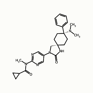 CN(C(=O)C1CC1)c1ncc(N2C[C@]3(CC[C@@](c4ccccc4)(N(C)C)CC3)NC2=O)cn1